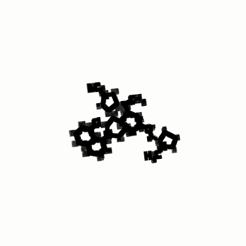 CN1CCC[C@H]1COc1nc2c(c(N(C)[C@@H]3CCN(C#N)C3)n1)CCN(c1cccc3cccc(Cl)c13)C2